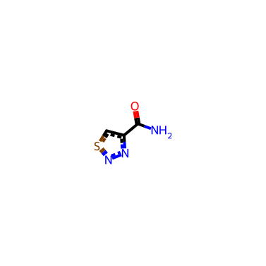 NC(=O)c1csnn1